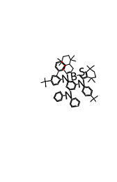 CC1(C)CCC(C)(C)C2CC3=C(C=C21)N(c1ccc(C(C)(C)C)cc1-c1ccccc1)c1cc(N(c2ccccc2)c2ccccc2)cc2c1B3c1sc3c(c1N2c1ccc(C(C)(C)C)cc1)C(C)(C)CCC3(C)C